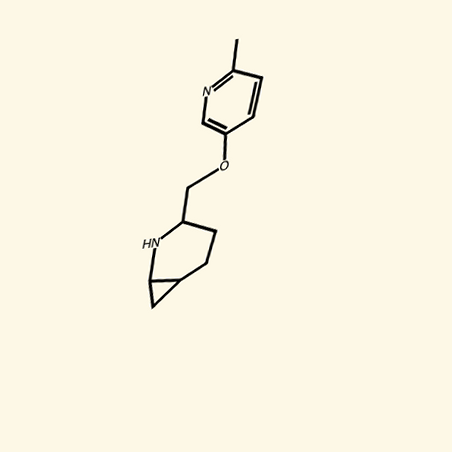 Cc1ccc(OCC2CCC3CC3N2)cn1